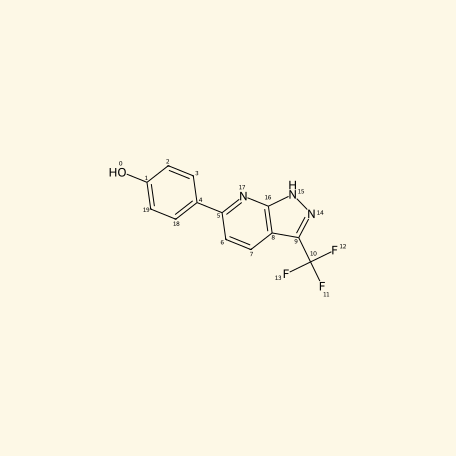 Oc1ccc(-c2ccc3c(C(F)(F)F)n[nH]c3n2)cc1